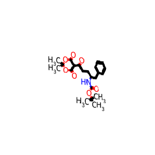 CC(C)(C)OC(=O)NC(CCC(=O)C1C(=O)OC(C)(C)OC1=O)Cc1ccccc1